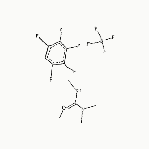 CNC(=[O+]C)N(C)C.F[B-](F)(F)F.Fc1cc(F)c(F)c(F)c1F